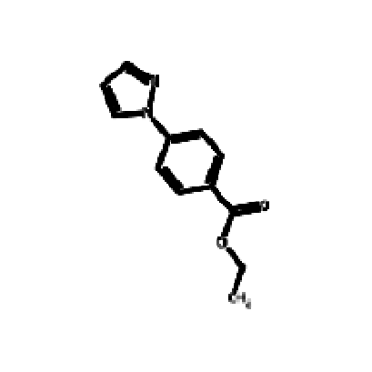 CCOC(=O)c1ccc(-n2cccn2)cc1